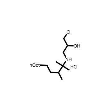 CCCCCCCCCCC(C)C(C)(C)NCC(O)CCl.Cl